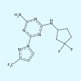 Nc1nc(NC2CCC(F)(F)C2)nc(-n2ccc(C(F)(F)F)n2)n1